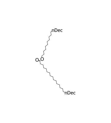 CCCCCCCCCCCCCCCCCCCCCCCCCC(=O)OCCCCCCCCCCCCCCCCCCCCC